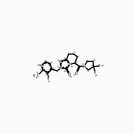 O=C(C1CCCc2nn(Cc3ccnc(C(F)(F)F)c3F)c(=O)n21)N1CCC(F)(F)C1